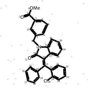 COC(=O)c1cccc(CN2C(=O)/C(=C(\c3ccccc3)c3ccccc3Cl)c3ccccc32)c1